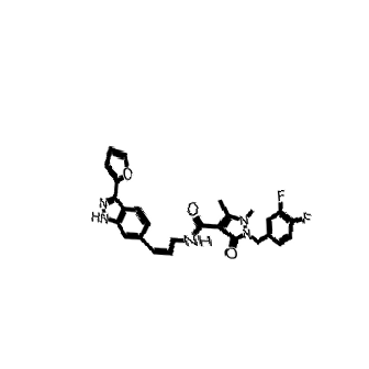 Cc1c(C(=O)NC/C=C\c2ccc3c(-c4ccco4)n[nH]c3c2)c(=O)n(Cc2ccc(F)c(F)c2)n1C